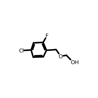 OCOCc1ccc(Cl)cc1F